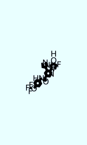 O=C(Nc1ccc(OC(F)(F)F)cc1)c1cnc(N2CC(O)C(F)C2)c(-c2ccn[nH]2)c1